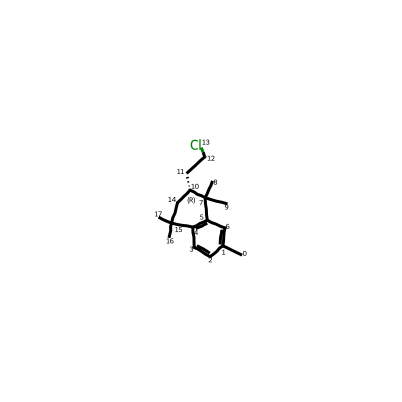 Cc1ccc2c(c1)C(C)(C)[C@@H](CCCl)CC2(C)C